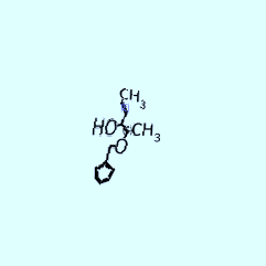 C/C=C/C(O)[C@H](C)OCc1ccccc1